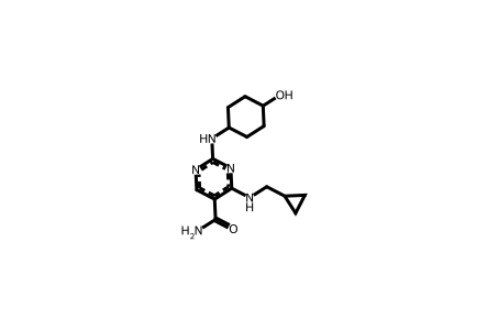 NC(=O)c1cnc(NC2CCC(O)CC2)nc1NCC1CC1